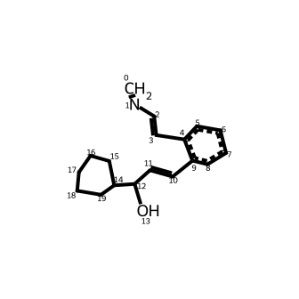 C=N/C=C/c1ccccc1/C=C/C(O)C1CCCCC1